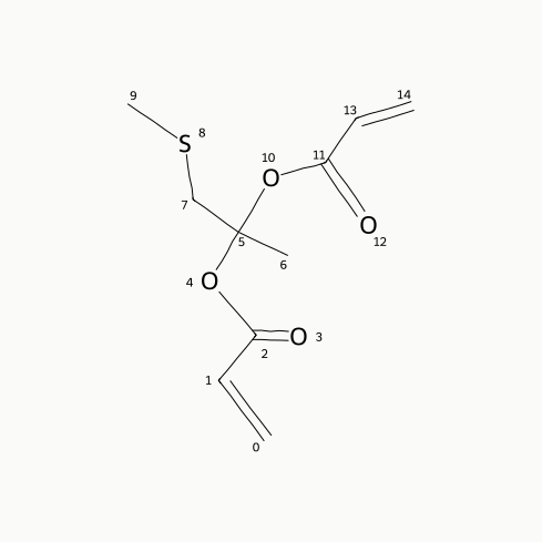 C=CC(=O)OC(C)(CSC)OC(=O)C=C